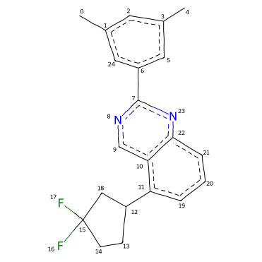 Cc1cc(C)cc(-c2ncc3c(C4CCC(F)(F)C4)cccc3n2)c1